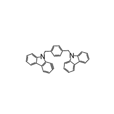 c1ccc2c3ccccc3n(Cc3ccc(Cn4c5ccccc5c5ccccc54)cc3)c2c#1